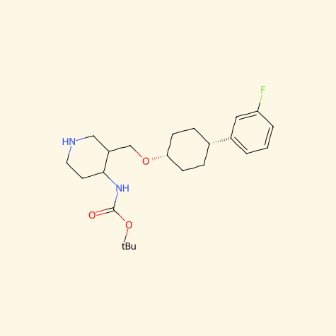 CC(C)(C)OC(=O)NC1CCNCC1CO[C@H]1CC[C@@H](c2cccc(F)c2)CC1